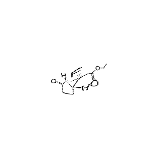 CCOC(=O)[C@@]1(F)[C@@H]2CCC(=O)[C@@H]21